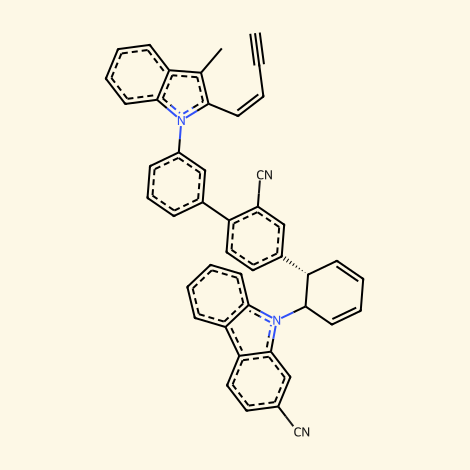 C#C/C=C\c1c(C)c2ccccc2n1-c1cccc(-c2ccc([C@@H]3C=CC=CC3n3c4ccccc4c4ccc(C#N)cc43)cc2C#N)c1